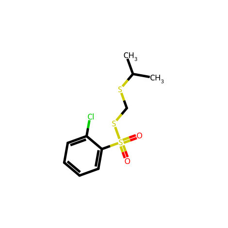 CC(C)SCSS(=O)(=O)c1ccccc1Cl